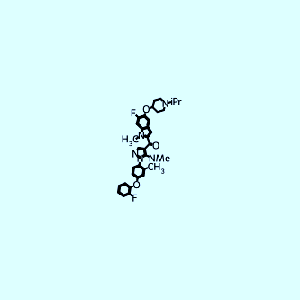 CNc1c(C(=O)c2cc3cc(OC4CCN(C(C)C)CC4)c(F)cc3n2C)cnn1-c1ccc(Oc2ccccc2F)cc1C